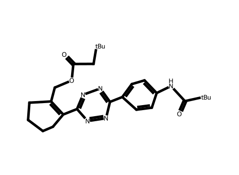 CC(C)(C)CC(=O)OCC1=C(c2nnc(-c3ccc(NC(=O)C(C)(C)C)cc3)nn2)CCCC1